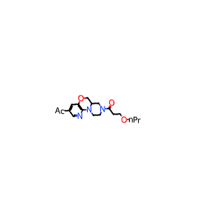 CCCOCCC(=O)N1CCN2c3ncc(C(C)=O)cc3OCC2C1